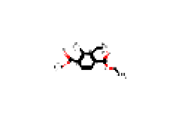 CCOC(=O)c1ccc(C(=O)OC)c(C)c1CC